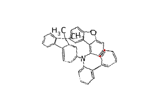 CC1(C)c2ccccc2-c2ccc(N(c3ccccc3-c3ccccc3)c3cccc4oc5ccccc5c34)cc21